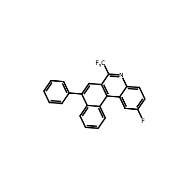 Fc1ccc2nc(C(F)(F)F)c3cc(-c4ccccc4)c4ccccc4c3c2c1